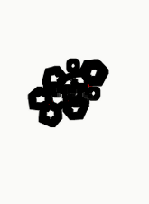 O=P(c1ccccc1)(c1ccccc1)C([PH2]([Se]c1ccccc1)[Se]c1ccccc1)P(=O)(c1ccccc1)c1ccccc1